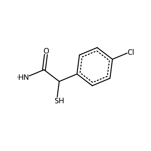 [NH]C(=O)C(S)c1ccc(Cl)cc1